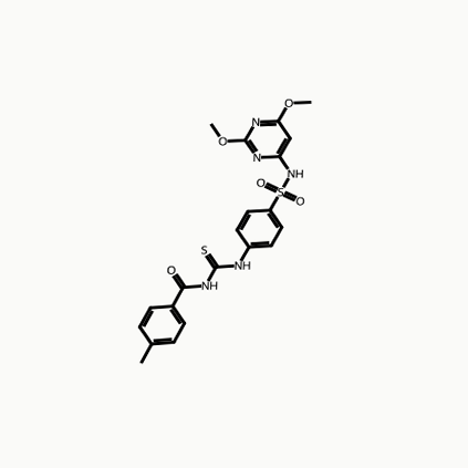 COc1cc(NS(=O)(=O)c2ccc(NC(=S)NC(=O)c3ccc(C)cc3)cc2)nc(OC)n1